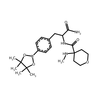 CNC1(C(=O)NC(Cc2ccc(B3OC(C)(C)C(C)(C)O3)cc2)C(N)=O)CCOCC1